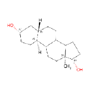 C[C@]12CCC3C(CC[C@H]4C[C@@H](O)CC[C@H]34)C1CC[C@@H]2O